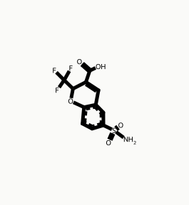 NS(=O)(=O)c1ccc2c(c1)C=C(C(=O)O)C(C(F)(F)F)O2